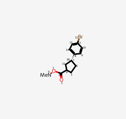 CNOC(=O)C1CC[C@@H](c2ccc(Br)cc2)C1